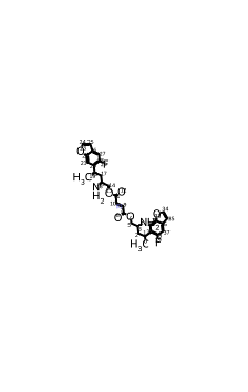 CC(CC(N)COC(=O)/C=C/C(=O)OCC(N)CC(C)c1cc2occc2cc1F)c1cc2occc2cc1F